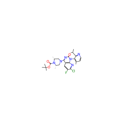 Cc1ccnc(C(C)C)c1-n1c(=O)nc(N2C[C@@H](C)N(C(=O)OC(C)(C)C)[C@@H](C)C2)c2cc(F)c(Cl)nc21